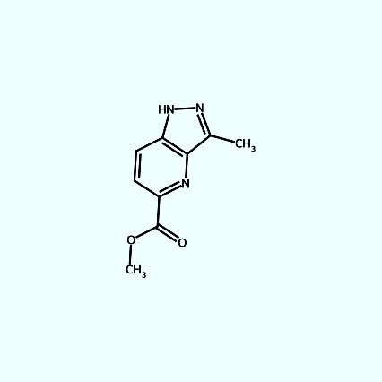 COC(=O)c1ccc2[nH]nc(C)c2n1